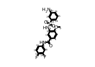 COc1ccc(C(=O)Nc2ccc(F)c(F)c2)cc1NS(=O)(=O)c1cccc(N)c1